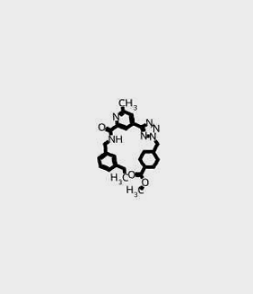 CCc1cccc(CNC(=O)c2cc(-c3nnn(CC4CCC(C(=O)OC)CC4)n3)cc(C)n2)c1